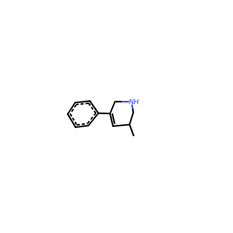 CC1C=C(c2ccccc2)CNC1